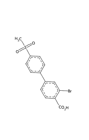 CS(=O)(=O)c1ccc(-c2ccc(C(=O)O)c(Br)c2)cc1